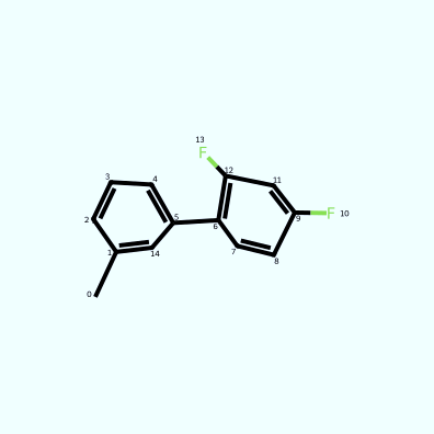 Cc1[c]ccc(-c2ccc(F)cc2F)c1